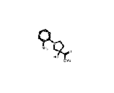 COC(=O)C1(O)CCN(c2ccccc2N)C1